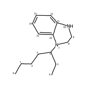 CCCCC(CC)N1CCNc2ccccc21